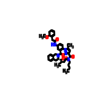 CCCCN(CCCC)C(=O)c1cc(C)n(-c2ccc(NC(=O)Cc3ccccc3OC)cc2C(=O)N2Cc3ccccc3C[C@H]2CO)n1